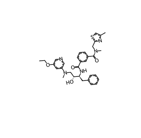 CCOc1cncc(N(C)C[C@@H](O)[C@H](Cc2ccccc2)NC(=O)c2cccc(C(=O)N(C)Cc3nc(C)cs3)c2)c1